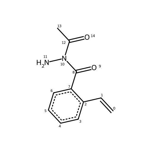 C=Cc1ccccc1C(=O)N(N)C(C)=O